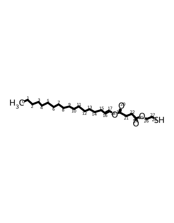 CCCCCCCCCCCCCCCCC=COC(=O)CCC(=O)OCCS